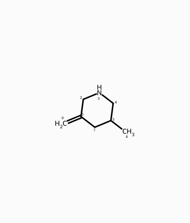 C=C1CNCC(C)C1